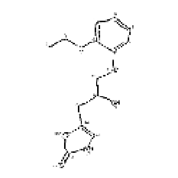 CCOc1ccccc1NCC(O)Cc1c[nH]c(=S)o1